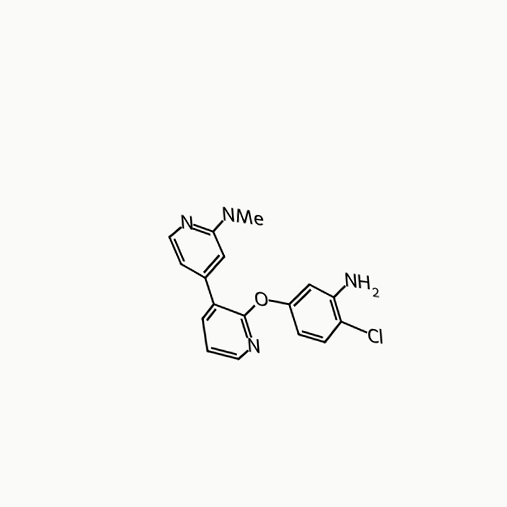 CNc1cc(-c2cccnc2Oc2ccc(Cl)c(N)c2)ccn1